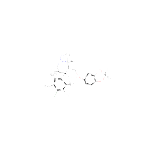 [2H]c1c([2H])c(C2([2H])[C@H](COc3ccc4c(c3)OC([2H])([2H])O4)C([2H])([2H])NCC2([2H])[2H])c([2H])c([2H])c1F